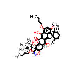 CCCCOc1noc2c1[C@@H](O[Si](C)(C)C(C)(C)C)[C@@]1(O)C(=O)c3c(c4c5c(c(OC)cc(OCCCC)c5c3O)[C@]3(C4)C(C)=CCCC3(C)C)C(=O)[C@H]1C2